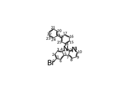 Brc1ccc2c(c1)c1cccnc1n2-c1cccc(-c2ccccc2)c1